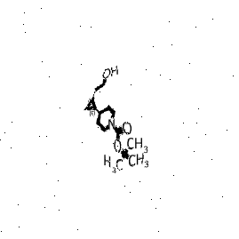 CC(C)(C)OC(=O)N1CCC([C@H]2C[C@@H]2CCO)CC1